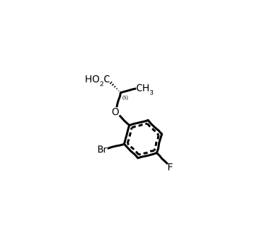 C[C@H](Oc1ccc(F)cc1Br)C(=O)O